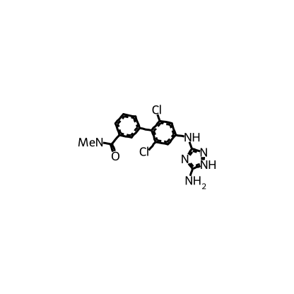 CNC(=O)c1cccc(-c2c(Cl)cc(Nc3n[nH]c(N)n3)cc2Cl)c1